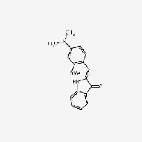 COc1cc(N(C)C)ccc1/C=C1\Nc2ccccc2C1=O